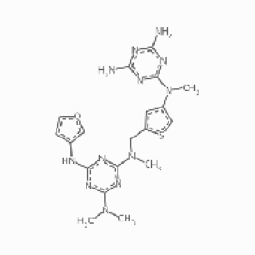 CN(C)c1nc(Nc2ccoc2)nc(N(C)Cc2cc(N(C)c3nc(N)nc(N)n3)cs2)n1